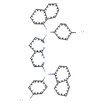 COc1ccc(N(c2ccc3ccc(N(c4ccc(OC)cc4)c4cccc5ccccc45)nc3n2)c2cccc3ccccc23)cc1